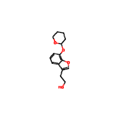 OCCc1coc2c(OC3CCCCO3)cccc12